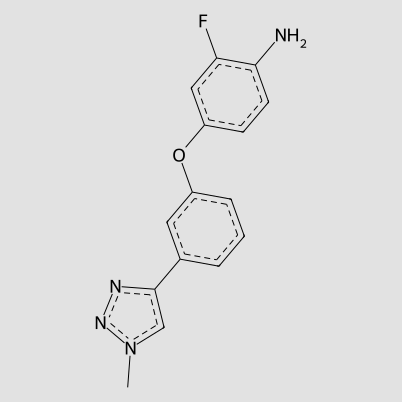 Cn1cc(-c2cccc(Oc3ccc(N)c(F)c3)c2)nn1